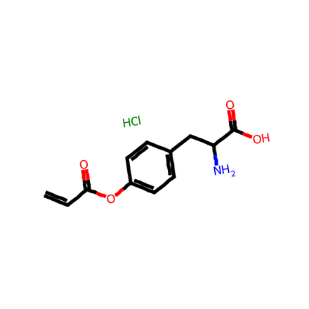 C=CC(=O)Oc1ccc(CC(N)C(=O)O)cc1.Cl